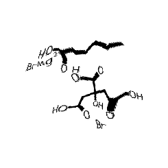 C/C=C/C=C/C(=O)O.O=C(O)CC(O)(CC(=O)O)C(=O)O.[Br-].[Br-].[Mg+2]